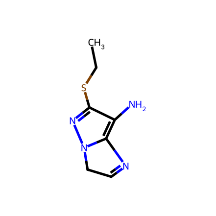 CCSc1nn2c(c1N)N=CC2